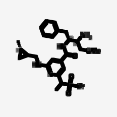 COC[C@H](N)[C@H](Cc1ccccc1)NC(=O)c1cc(NCC2C[C@@H]2C)nc(C(C)S(=O)(=O)C(C)C)c1